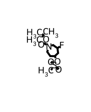 CC(C)(C)OC(=O)N1CCC(OS(C)(=O)=O)CC(F)C1